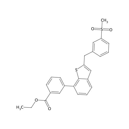 CCOC(=O)c1cccc(-c2cccc3cc(Cc4cccc(S(C)(=O)=O)c4)sc23)c1